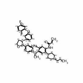 C=CC(=O)Nc1cc(Nc2cc(N3OCCC3c3cccc(Oc4cc(F)ccc4F)c3)ncn2)c(OC)cc1N1CCN(CCC)CC1